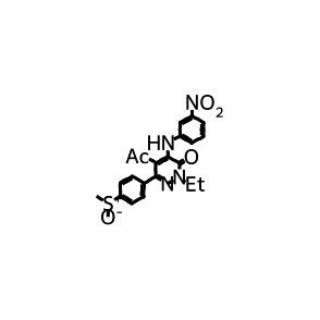 CCn1nc(-c2ccc([S+](C)[O-])cc2)c(C(C)=O)c(Nc2cccc([N+](=O)[O-])c2)c1=O